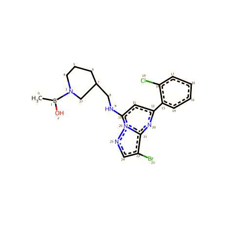 CB(O)N1CCCC(CNc2cc(-c3ccccc3Cl)nc3c(Br)cnn23)C1